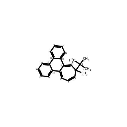 CC(C)(C)C1(C)C=CC=c2c(c3ccccc3c3ccccc23)=C1